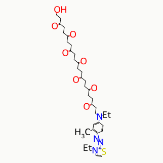 CCN(CCC(=O)CCC(=O)CCC(=O)CCC(=O)CCC(=O)CCC(=O)CCC(=O)CCO)c1ccc(/N=N/c2scc[n+]2CC)c(C)c1